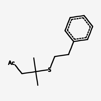 CC(=O)CC(C)(C)SCCc1ccccc1